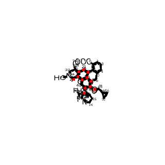 O=C([O-])c1cccc(CN(C(=O)O[C@H]2CN3CCC2CC3)c2cccc(F)c2)c1[C@@H](Cc1c(Cl)c[n+](O)cc1Cl)c1ccc(OC(F)F)c(OCC2CC2)c1